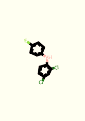 Fc1ccc(Bc2ccc(Cl)cc2Cl)cc1